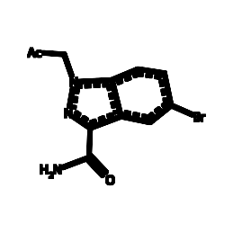 CC(=O)Cn1nc(C(N)=O)c2cc(Br)ccc21